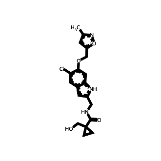 Cc1cc(COc2cc3[nH]c(CNC(=O)C4(CO)CC4)cc3cc2Cl)on1